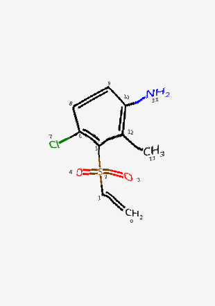 C=CS(=O)(=O)c1c(Cl)ccc(N)c1C